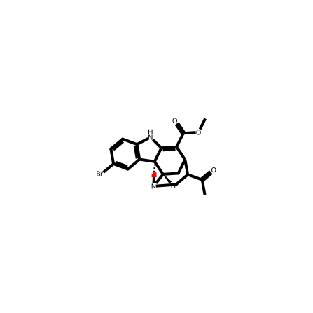 COC(=O)C1=C2Nc3ccc(Br)cc3[C@@]23CCN2CC(C(C)=O)C1C[C@H]23